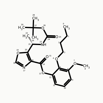 CCCCOc1c(OC)cccc1OC(=O)c1ncoc1[C@H](C)NC(=O)OC(C)(C)C